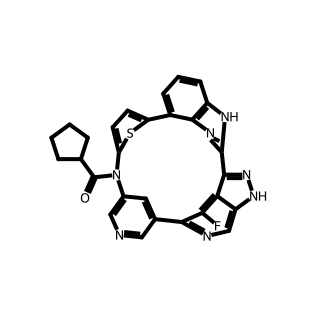 O=C(C1CCCC1)n1c2cncc(c2)c2ncc3[nH]nc(c4nc5c(cccc5c5ccc1s5)[nH]4)c3c2F